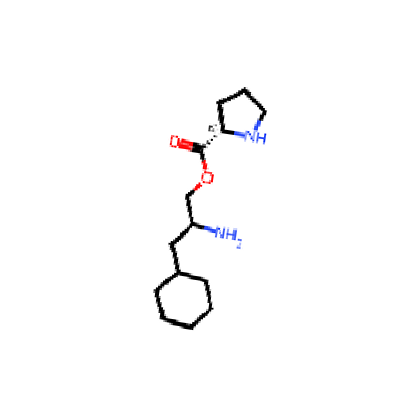 NC(COC(=O)[C@@H]1CCCN1)CC1CCCCC1